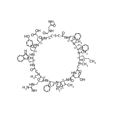 CCCC[C@H]1C(=O)N(C)CC(=O)N[C@@H](CC(=O)O)C(=O)N[C@@H](C(C)C)C(=O)N(C)[C@@H](Cc2ccccc2)C(=O)N[C@@H](CCCNC(=N)N)C(=O)N(C)CC(=O)N[C@@H](Cc2c[nH]c3ccccc23)C(=O)N[C@@H](Cc2ccc(O)cc2)C(=O)N[C@@H](CCC(=O)O)C(=O)N[C@H](C(=O)NCC(N)=O)CSCC(=O)N[C@@H](Cc2ccccc2)C(=O)N(C)[C@@H](Cc2ccccc2)C(=O)N1C